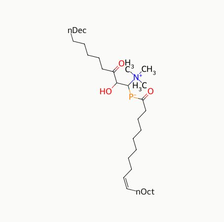 CCCCCCCC/C=C\CCCCCCCC(=O)[P-]C(C(O)C(=O)CCCCCCCCCCCCCCC)[N+](C)(C)C